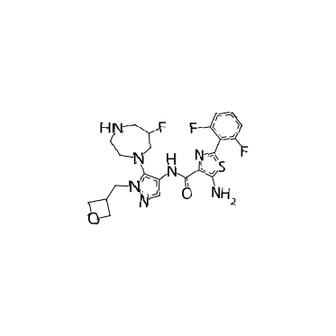 Nc1sc(-c2c(F)cccc2F)nc1C(=O)Nc1cnn(CC2COC2)c1N1CCNCC(F)C1